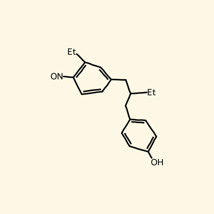 CCc1cc(CC(CC)Cc2ccc(O)cc2)ccc1N=O